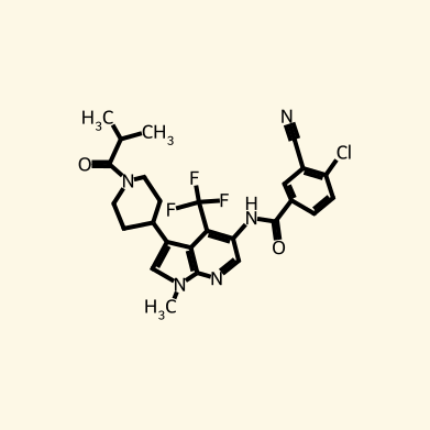 CC(C)C(=O)N1CCC(c2cn(C)c3ncc(NC(=O)c4ccc(Cl)c(C#N)c4)c(C(F)(F)F)c23)CC1